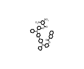 O=C(Oc1cccc(N(c2ccccc2)c2ccc(-c3ccc(N(c4ccccc4)c4cccc(OC(=O)c5ccc6ccccc6c5)c4)cc3)cc2)c1)c1cc([N+](=O)[O-])cc([N+](=O)[O-])c1